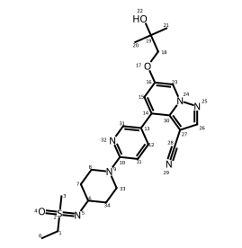 CCS(C)(=O)=NC1CCN(c2ccc(-c3cc(OCC(C)(C)O)cn4ncc(C#N)c34)cn2)CC1